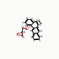 CC.c1ccc2cc3c(ccc4cccc(OCC5CO5)c43)cc2c1